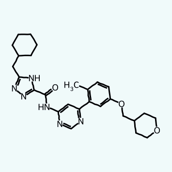 Cc1ccc(OCC2CCOCC2)cc1-c1cc(NC(=O)c2nnc(CC3CCCCC3)[nH]2)ncn1